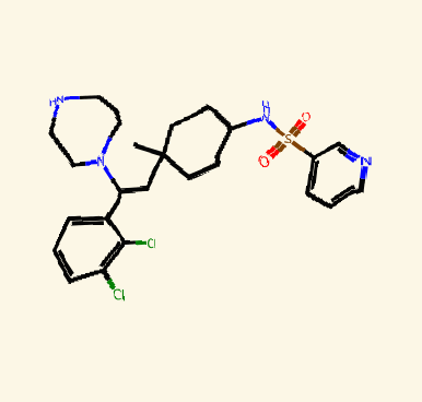 CC1(CC(c2cccc(Cl)c2Cl)N2CCNCC2)CCC(NS(=O)(=O)c2cccnc2)CC1